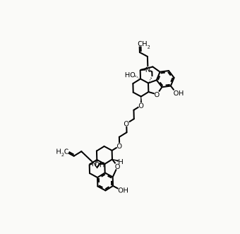 C=CCN1CC[C@]23c4c5ccc(O)c4OC2[C@@H](OCCOCCOC2CC[C@@]4(O)C6Cc7ccc(O)c8c7[C@@]4(CCN6CC=C)[C@H]2O8)CC[C@@]3(O)C1C5